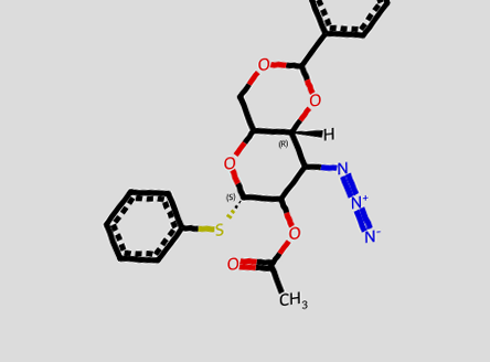 CC(=O)OC1C(N=[N+]=[N-])[C@H]2OC(c3ccccc3)OCC2O[C@H]1Sc1ccccc1